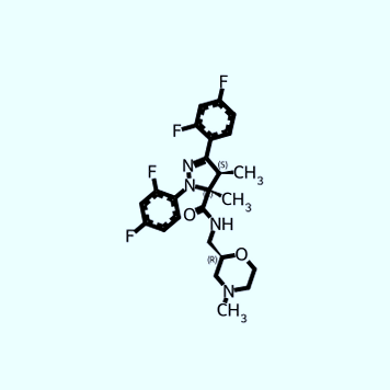 C[C@@H]1C(c2ccc(F)cc2F)=NN(c2ccc(F)cc2F)[C@@]1(C)C(=O)NC[C@@H]1CN(C)CCO1